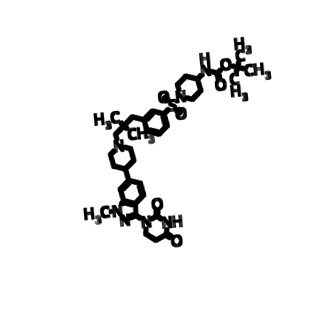 Cn1nc(N2CCC(=O)NC2=O)c2ccc(C3CCN(CC(C)(C)Cc4cccc(S(=O)(=O)N5CCC(NC(=O)OC(C)(C)C)CC5)c4)CC3)cc21